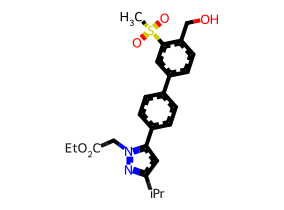 CCOC(=O)Cn1nc(C(C)C)cc1-c1ccc(-c2ccc(CO)c(S(C)(=O)=O)c2)cc1